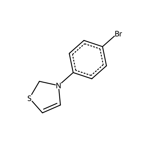 Brc1ccc(N2C=CSC2)cc1